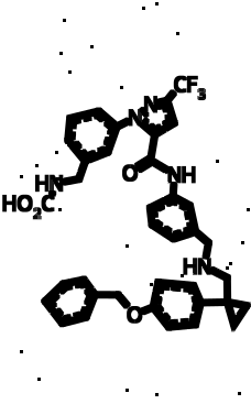 O=C(O)NCc1cccc(-n2nc(C(F)(F)F)cc2C(=O)Nc2cccc(CNCC3(c4ccc(OCc5ccccc5)cc4)CC3)c2)c1